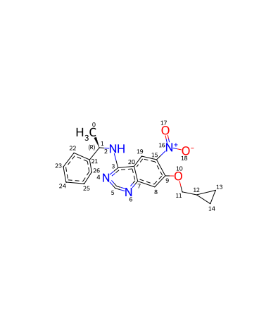 C[C@@H](Nc1ncnc2cc(OCC3CC3)c([N+](=O)[O-])cc12)c1ccccc1